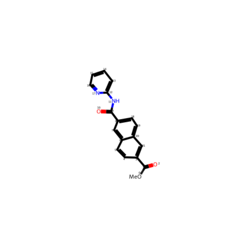 COC(=O)c1ccc2cc(C(=O)Nc3ccccn3)ccc2c1